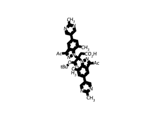 CC(=O)c1nn(C(CC(=O)O)(C(=O)OC(C)(C)C)n2nc(C(C)=O)c3cc(-c4cnc(C)nc4)cc(C)c32)c2c(C)cc(-c3cnc(C)nc3)cc12